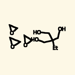 C1CO1.C1CO1.C1CO1.CCC(CO)(CO)CO